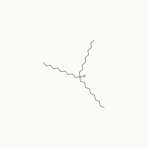 CCCCCCCCCC[Si]([O])(CCCCCCCCCC)CCCCCCCCCC